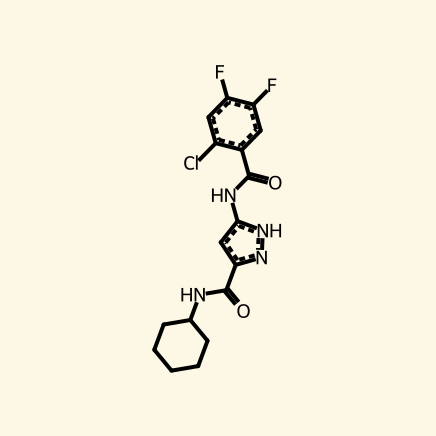 O=C(NC1CCCCC1)c1cc(NC(=O)c2cc(F)c(F)cc2Cl)[nH]n1